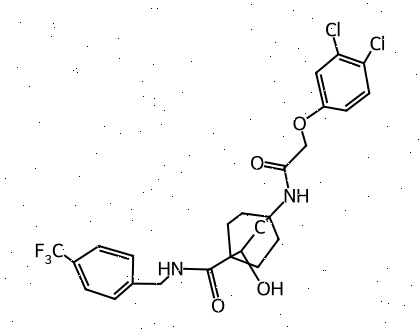 O=C(COc1ccc(Cl)c(Cl)c1)NC12CCC(C(=O)NCc3ccc(C(F)(F)F)cc3)(CC1)C(O)C2